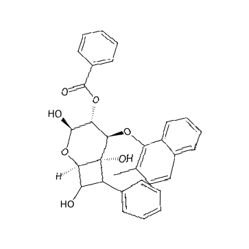 Cc1ccc2ccccc2c1O[C@@H]1[C@@H](OC(=O)c2ccccc2)[C@H](O)O[C@@H]2C(O)C(c3ccccc3)[C@@]21O